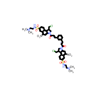 CN(C)CCNS(=O)(=O)c1ccc2c3c(cc([N+](=O)[O-])c2c1)N(C(=O)/C=C/c1cccc(/C=C/C(=O)N2CC(CCl)c4c2cc([N+](=O)[O-])c2cc(S(=O)(=O)NCCN(C)C)ccc42)c1)CC3CCl